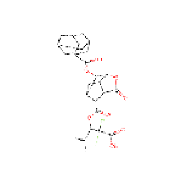 CC(C)C(OC(=O)C1C2CC3C(OC(=O)C31)C2OC(=O)C12CC3CC(CC(C3)C1)C2)C(F)(F)C(=O)O